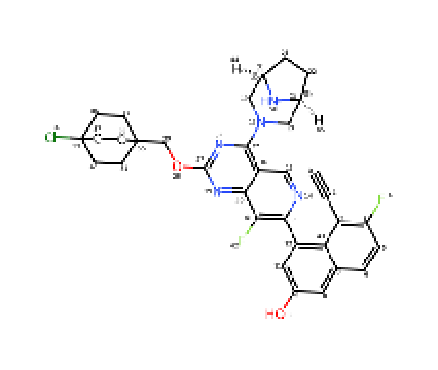 C#Cc1c(F)ccc2cc(O)cc(-c3ncc4c(N5C[C@H]6CC[C@@H](C5)N6)nc(OCC56CCC(Cl)(CC5)CC6)nc4c3F)c12